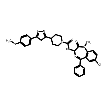 COc1ccc(C2=NN=C(C3CCN(C(=S)NC4N=C(c5ccccc5)c5cc(Cl)ccc5N(C)C4=O)CC3)C2)cc1